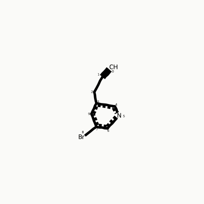 C#CCc1cncc(Br)c1